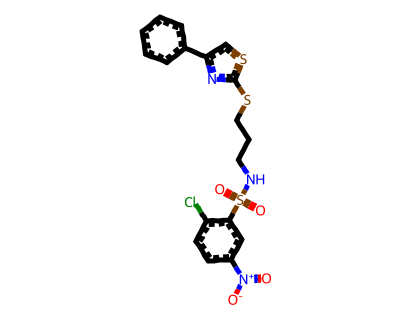 O=[N+]([O-])c1ccc(Cl)c(S(=O)(=O)NCCCSc2nc(-c3ccccc3)cs2)c1